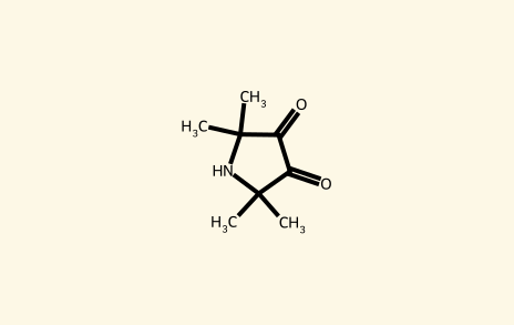 CC1(C)NC(C)(C)C(=O)C1=O